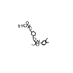 CCc1oc(-c2ccc(C)c(C)c2)nc1COCC1CCCC(COC(C)(C)C(=O)O)C1